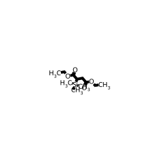 CCOC(=O)CC(C(=O)OCC)[Si](C)(C)C